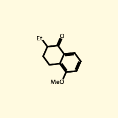 CCC1CCc2c(OC)cccc2C1=O